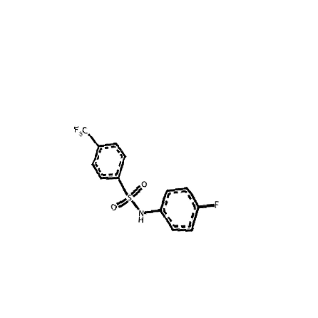 O=S(=O)(Nc1ccc(F)cc1)c1ccc(C(F)(F)F)cc1